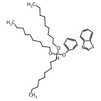 CCCCCCCCCO[PH](CCCCCCCCC)(OCCCCCCCCC)Oc1ccccc1.c1ccc2scnc2c1